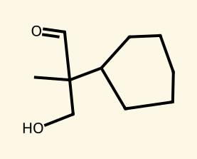 CC(C=O)(CO)C1CCCCC1